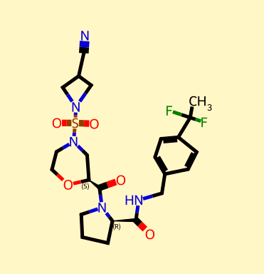 CC(F)(F)c1ccc(CNC(=O)[C@H]2CCCN2C(=O)[C@@H]2CN(S(=O)(=O)N3CC(C#N)C3)CCO2)cc1